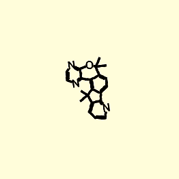 CC1(C)Oc2nccnc2-c2c1ccc1c2C(C)(C)c2cccnc2-1